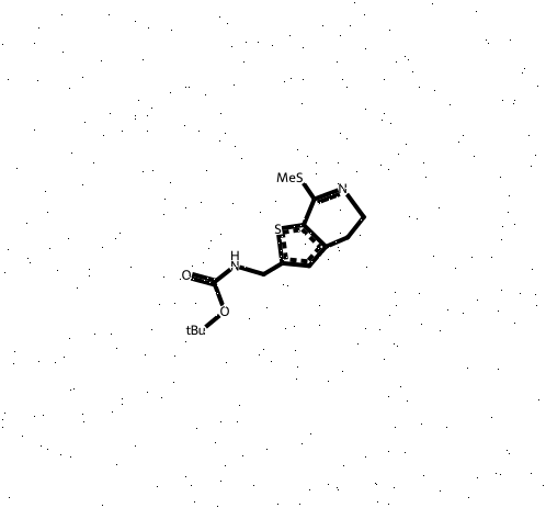 CSC1=NCCc2cc(CNC(=O)OC(C)(C)C)sc21